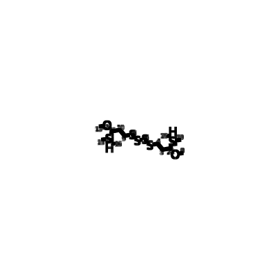 COC(CCSSSSCCC(OC)[SiH](C)C)[SiH](C)C